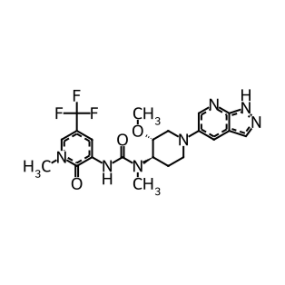 CO[C@@H]1CN(c2cnc3[nH]ncc3c2)CC[C@H]1N(C)C(=O)Nc1cc(C(F)(F)F)cn(C)c1=O